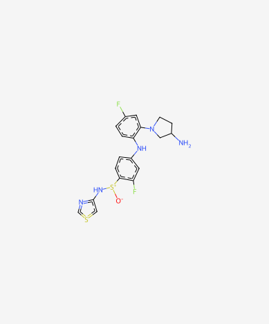 NC1CCN(c2cc(F)ccc2Nc2ccc([S+]([O-])Nc3cscn3)c(F)c2)C1